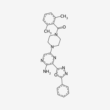 Cc1cccc(C)c1C(=O)N1CCN(c2cnc(N)c(-c3nnc(-c4ccccc4)o3)n2)CC1